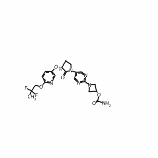 CC(F)(F)COc1ccc(O[C@@H]2CCN(c3cnc(N4CC(OC(N)=O)C4)nc3)C2=O)cn1